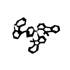 CC1(C)c2ccccc2-c2cccc(N(c3ccc(-c4cccc5sc6ccccc6c45)cc3)c3cccc4c3C(C)(C)c3ccccc3-4)c21